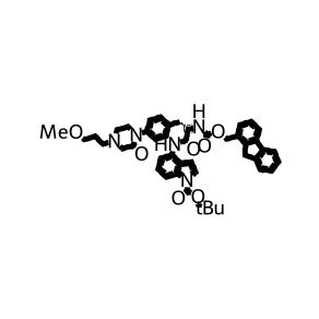 COCCCN1CCN(c2ccc(C[C@H](NC(=O)OCc3cccc4c3Cc3ccccc3-4)C(=O)Nc3cccc4c3ccn4C(=O)OC(C)(C)C)cc2)C(=O)C1